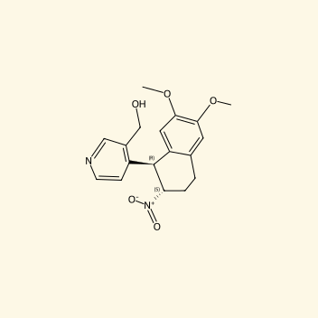 COc1cc2c(cc1OC)[C@H](c1ccncc1CO)[C@@H]([N+](=O)[O-])CC2